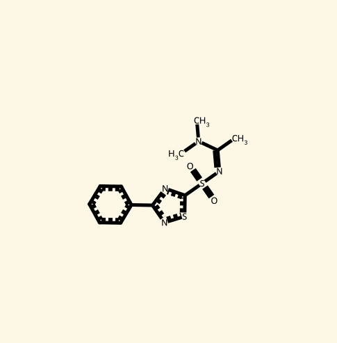 CC(=NS(=O)(=O)c1nc(-c2ccccc2)ns1)N(C)C